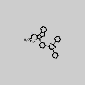 C=C/C=C\c1c(C)n(-c2cccc(-c3nc(-c4ccccc4)nc(-c4ccccc4)n3)c2)c2sc3ccccc3c12